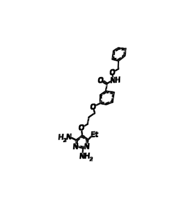 CCc1nc(N)nc(N)c1OCCCOc1cccc(C(=O)NOCc2ccccc2)c1